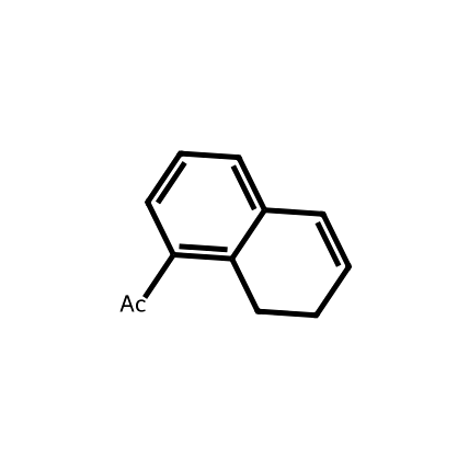 CC(=O)c1cccc2c1CCC=C2